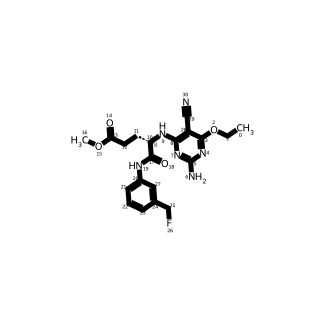 CCOc1nc(N)nc(N[C@@H](CCC(=O)OC)C(=O)Nc2cccc(CF)c2)c1C#N